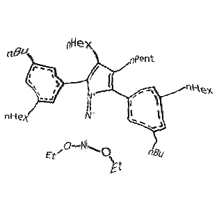 CCCCCCC1=C(c2cc(CCCC)cc(CCCCCC)c2)[N+](=[N-])C(c2cc(CCCC)cc(CCCCCC)c2)=C1CCCCC.CC[O][Ni][O]CC